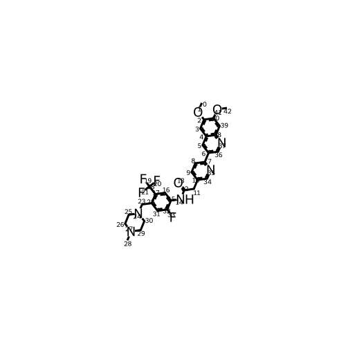 COc1cc2cc(-c3ccc(CC(=O)Nc4cc(C(F)(F)F)c(CN5CCN(C)CC5)cc4F)cn3)cnc2cc1OC